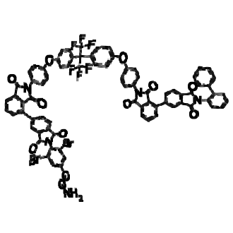 NOOc1cc(Br)c(N2C(=O)c3ccc(-c4cccc5c4C(=O)N(c4ccc(Oc6ccc(C(c7ccc(Oc8ccc(N9C(=O)c%10cccc(-c%11ccc%12c(c%11)C(=O)N(c%11ccccc%11-c%11ccccc%11)C%12=O)c%10C9=O)cc8)cc7)(C(F)(F)F)C(F)(F)F)cc6)cc4)C5=O)cc3C2=O)c(Br)c1